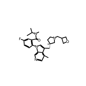 Cc1cncc2c1c(C[C@@H]1CCN(CC3COC3)C1)cn2-c1ccc(F)cc1C(=O)N(C)C(C)C